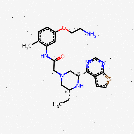 CC[C@@H]1CN(CC(=O)Nc2cc(OCCN)ccc2C)C[C@H](c2ncnc3sccc23)N1